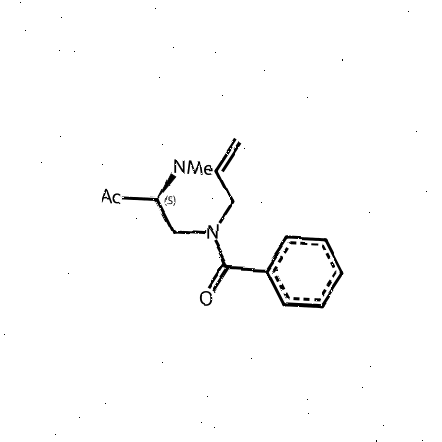 C=CCN(C[C@H](NC)C(C)=O)C(=O)c1ccccc1